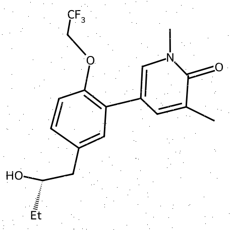 CC[C@H](O)Cc1ccc(OCC(F)(F)F)c(-c2cc(C)c(=O)n(C)c2)c1